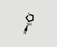 C1CCSC1.N#CS